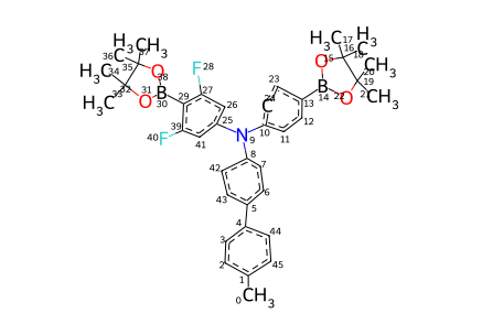 Cc1ccc(-c2ccc(N(c3ccc(B4OC(C)(C)C(C)(C)O4)cc3)c3cc(F)c(B4OC(C)(C)C(C)(C)O4)c(F)c3)cc2)cc1